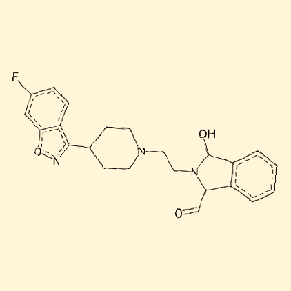 O=CC1c2ccccc2C(O)N1CCN1CCC(c2noc3cc(F)ccc23)CC1